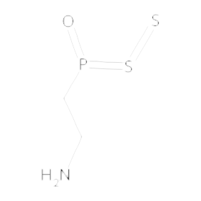 NCCP(=O)=S=S